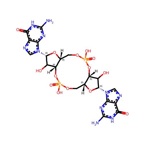 Nc1nc2c(ncn2[C@@H]2O[C@@H]3COP(=O)(O)O[C@@H]4C(O)[C@H](n5cnc6c(=O)[nH]c(N)nc65)O[C@@H]4COP(=O)(O)O[C@@H]3C2O)c(=O)[nH]1